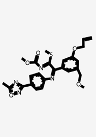 C=CCOc1cc(COC)cc(C(=Nc2ccc(-c3noc(C)n3)cc2)C(=NC(=O)OC)SC)c1